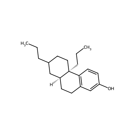 CCCC1CC[C@@]2(CCC)c3ccc(O)cc3CC[C@H]2C1